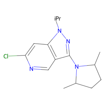 CC1CCC(C)N1c1nn(C(C)C)c2cc(Cl)ncc12